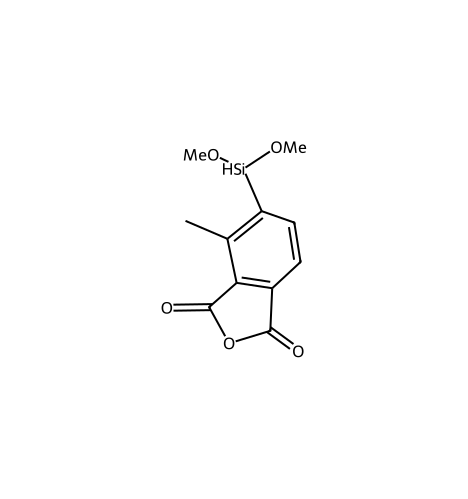 CO[SiH](OC)c1ccc2c(c1C)C(=O)OC2=O